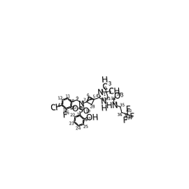 CC1(C)N=C(C23CC(N(Cc4ccc(Cl)c(F)c4)S(=O)(=O)c4ccccc4O)(C2)C3)N[C@H]1C(=O)NCCC(F)(F)F